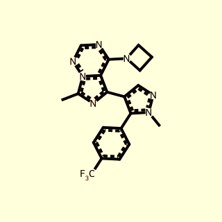 Cc1nc(-c2cnn(C)c2-c2ccc(C(F)(F)F)cc2)c2c(N3CCC3)ncnn12